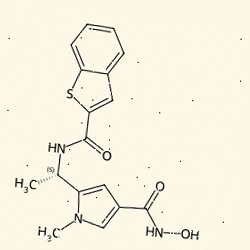 C[C@H](NC(=O)c1cc2ccccc2s1)c1cc(C(=O)NO)cn1C